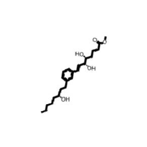 CCCCC[C@@H](O)CCc1cccc(/C=C/[C@@H](O)[C@@H](O)CCCC(=O)OC)c1